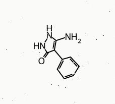 Nc1[nH][nH]c(=O)c1-c1ccccc1